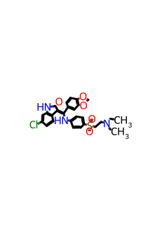 CCN(CC)CCS(=O)(=O)c1ccc(NC(=C2C(=O)Nc3cc(Cl)ccc32)c2ccc3c(c2)OCO3)cc1